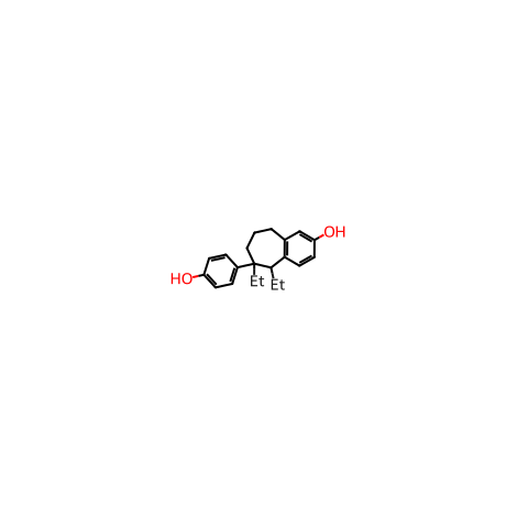 CCC1c2ccc(O)cc2CCCC1(CC)c1ccc(O)cc1